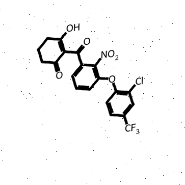 O=C1CCCC(O)=C1C(=O)c1cccc(Oc2ccc(C(F)(F)F)cc2Cl)c1[N+](=O)[O-]